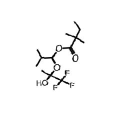 CCC(C)(C)C(=O)OC(OC(C)(O)C(F)(F)F)C(C)C